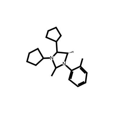 Cc1ccccc1N1C(C)N(C2CCCC2)C(C2CCCC2)[C@@H]1C